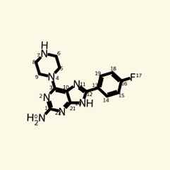 Nc1nc(N2CCNCC2)c2nc(-c3ccc(F)cc3)[nH]c2n1